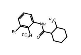 CCc1cccc(NC(=O)C2CCCCC2C)c1C(=O)O